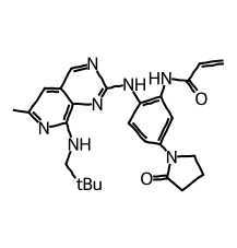 C=CC(=O)Nc1cc(N2CCCC2=O)ccc1Nc1ncc2cc(C)nc(NCC(C)(C)C)c2n1